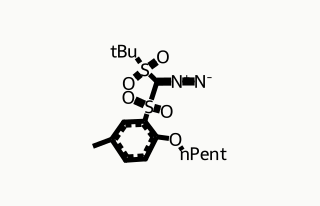 CCCCCOc1ccc(C)cc1S(=O)(=O)C(=[N+]=[N-])S(=O)(=O)C(C)(C)C